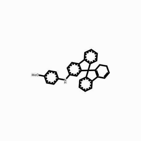 COc1ccc(Nc2ccc3c(c2)C2(C4=C(C=CCC4)c4ccccc42)c2ccccc2-3)cc1